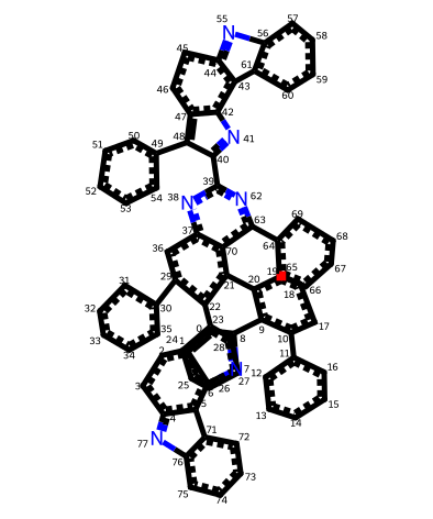 C1=c2ccc3c(c2N=C1c1c(-c2ccccc2)cccc1-c1c(-c2ccccc2)c(-c2ccccc2)cc2nc(C4=Nc5c6c(ccc5=C4c4ccccc4)=Nc4ccccc4-6)nc(-c4ccccc4)c12)-c1ccccc1N=3